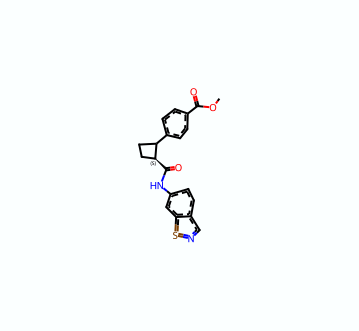 COC(=O)c1ccc(C2CC[C@@H]2C(=O)Nc2ccc3cnsc3c2)cc1